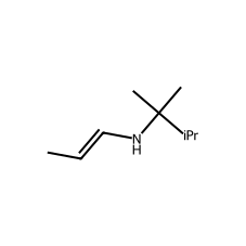 CC=CNC(C)(C)C(C)C